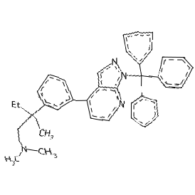 CCC(C)(CN(C)C)c1cccc(-c2ccnc3c2cnn3C(c2ccccc2)(c2ccccc2)c2ccccc2)c1